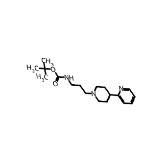 CC(C)(C)OC(=O)NCCCN1CCC(c2ccccn2)CC1